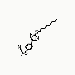 CCCCCCCCSc1ncc(-c2ccc(S[C@H](C)C#N)cc2)cn1